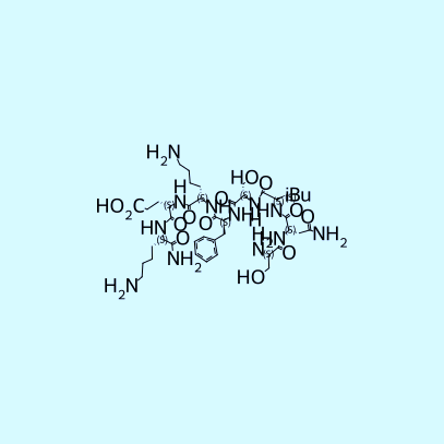 CC[C@H](C)[C@H](NC(=O)[C@H](CC(N)=O)NC(=O)[C@@H](N)CO)C(=O)N[C@@H](CO)C(=O)N[C@@H](Cc1ccccc1)C(=O)N[C@@H](CCCCN)C(=O)N[C@@H](CCC(=O)O)C(=O)N[C@@H](CCCCN)C(N)=O